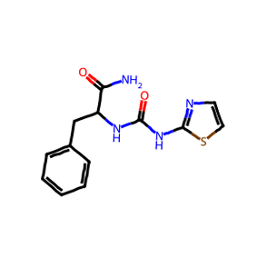 NC(=O)C(Cc1ccccc1)NC(=O)Nc1nccs1